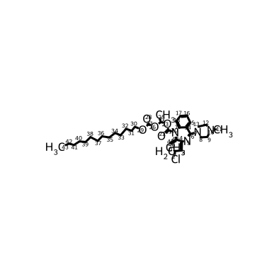 C=C(Cl)/C=C1/N=C(N2CCN(C)CC2)c2ccccc2N(C(=O)OC(C)OC(=O)OCCCCCCCCCCCCCC)/C1=C/C